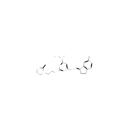 C=C1OCCN1CCOc1nc(N/N=C2\CCc3ccc(C)cc32)cc(N(CCC)CCC)n1